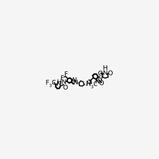 Cn1c(=O)n(C2CCC(=O)NC2=O)c2cccc(C3CN(C[C@H]4CC[C@H](n5cc6cc(NC(=O)c7cccc(C(F)(F)F)n7)c(C(F)F)cc6n5)CC4)C3)c21